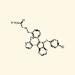 COC(=O)CCCc1cccc(-c2c(-c3ccsc3C#N)c3ccccc3n2Sc2ccc(Cl)cc2)c1